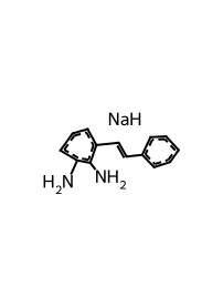 Nc1cccc(C=Cc2ccccc2)c1N.[NaH]